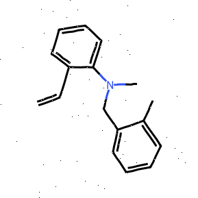 C=Cc1ccccc1N(C)Cc1ccccc1C